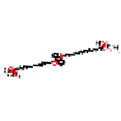 CC(C)OC(=O)CCCCCCCCCCCCCCCCCOc1c2ccccc2c(OCCCCCCCCCCCCCCCCCC(=O)OC(C)C)c2ccccc12